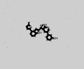 Cc1ccc(-c2cccc3[nH]c(-c4n[nH]c5ncc(-c6cccc(O)c6)cc45)cc23)s1